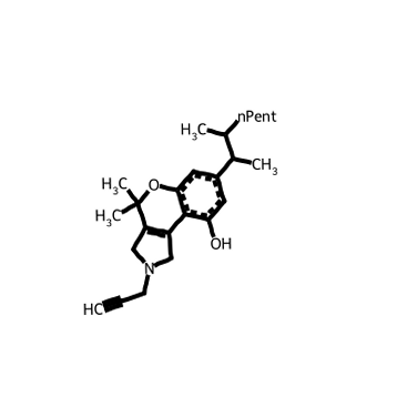 C#CCN1CC2=C(C1)C(C)(C)Oc1cc(C(C)C(C)CCCCC)cc(O)c12